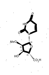 CO[C@@H]1[C@H](O)[C@@H](C(=O)O)O[C@H]1n1ccc(=O)[nH]c1=O